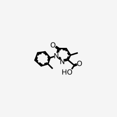 Cc1ccccc1-n1nc(C(=O)O)c(C)cc1=O